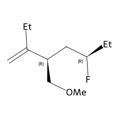 C=C(CC)[C@H](COC)C[C@H](F)CC